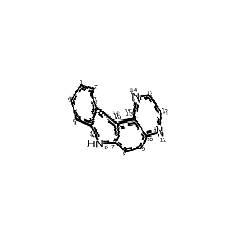 [c]1ccc2c(c1)[nH]c1ccc3nccnc3c12